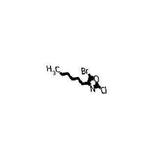 CCCCCCc1nc(Cl)oc1Br